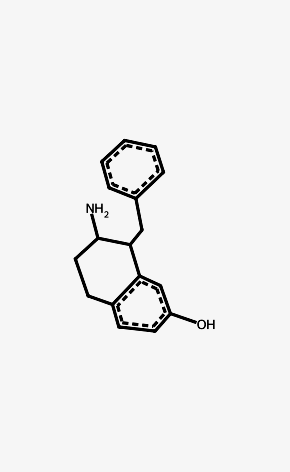 NC1CCc2ccc(O)cc2C1Cc1ccccc1